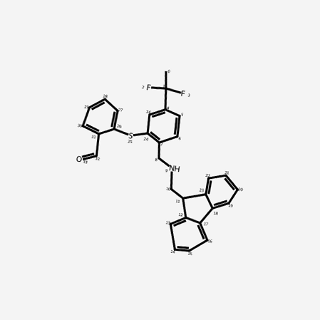 CC(F)(F)c1ccc(CNCC2c3ccccc3-c3ccccc32)c(Sc2ccccc2C=O)c1